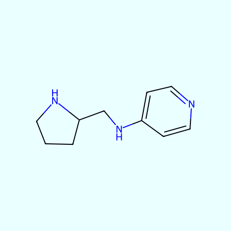 c1cc(NCC2CCCN2)ccn1